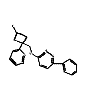 FC1CC(CNc2ccc(-c3ccccc3)nn2)(c2ccccn2)C1